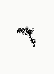 C#Cc1cnn(CCCCNc2cc(F)cc3c2CN(C2CCC(=O)NC2=O)C3=O)c1